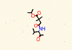 CC(=O)C(NC(=O)CC(C)(C)C(=O)OC(C)C)C(C)C